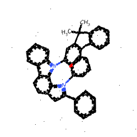 CC1(C)c2ccccc2-c2ccc(-n3c4ccccc4c4ccc5cc(-c6ccccc6)n(-c6ccccc6)c5c43)cc21